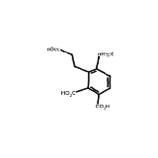 CCCCCCCCCCCCc1c(CCCCCCC)ccc(C(=O)O)c1C(=O)O